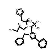 CC(C)(C)[C@H](c1nc(-c2ccccc2)cn1Cc1ccccc1)N(C[C@@H](F)CN)C(=O)Cn1cnnn1